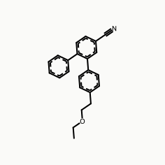 CCOCCc1ccc(-c2cc(C#N)ccc2-c2ccccc2)cc1